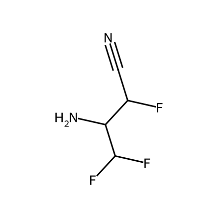 N#CC(F)C(N)C(F)F